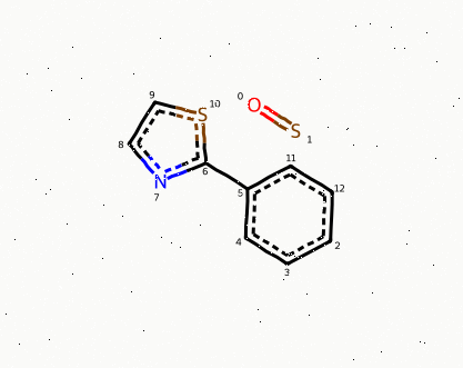 O=S.c1ccc(-c2nccs2)cc1